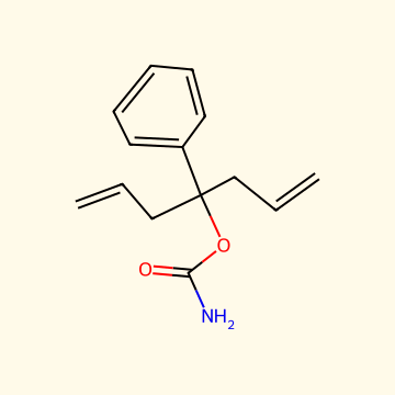 C=CCC(CC=C)(OC(N)=O)c1ccccc1